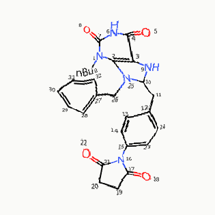 CCCCn1c2c(c(=O)[nH]c1=O)NC(Cc1ccc(N3C(=O)CCC3=O)cc1)N2Cc1ccccc1